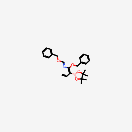 C=C/C(B1OC(C)(C)C(C)(C)O1)=C(\N=C\OCc1ccccc1)OCc1ccccc1